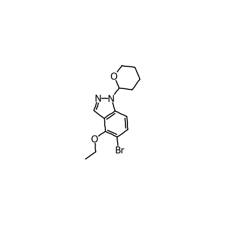 CCOc1c(Br)ccc2c1cnn2C1CCCCO1